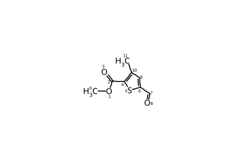 COC(=O)c1sc(C=O)cc1C